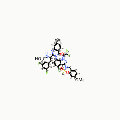 COc1ccc(CN(c2nn(CC(F)F)c3c(-n4c(C(Cc5cc(F)cc(F)c5)NC(=O)O)nc5cc(C(C)(C)C)ccc5c4=O)ccc(Cl)c23)S(C)(=O)=O)cc1